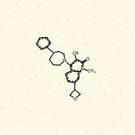 Cn1c(=O)c(C#N)c(N2CCCC(c3ccccc3)CC2)c2ccc(C3COC3)cc21